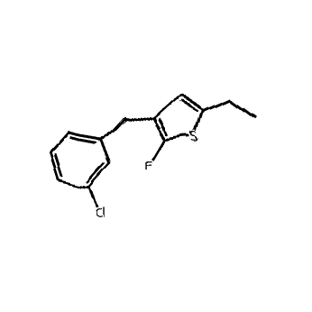 CCc1cc(Cc2cccc(Cl)c2)c(F)s1